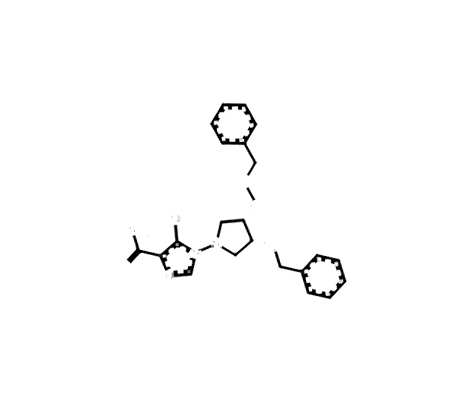 NC(=O)c1ncn(N2C[C@H](COCc3ccccc3)[C@H](OCc3ccccc3)C2)c1N